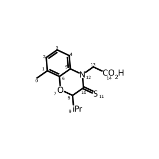 Cc1cccc2c1OC(C(C)C)C(=S)N2CC(=O)O